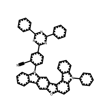 N#Cc1cc(-c2nc(-c3ccccc3)nc(-c3ccccc3)n2)ccc1-n1c2ccccc2c2cc3oc4ccc5c(c6ccccc6n5-c5ccccc5)c4c3cc21